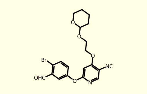 [C-]#[N+]c1cnc(Oc2ccc(Br)c(C=O)c2)cc1OCCOC1CCCCO1